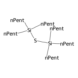 CCCCC[Si](CCCCC)(CCCCC)S[Si](CCCCC)(CCCCC)CCCCC